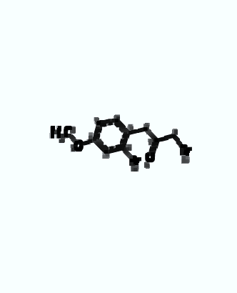 COc1ccc(CC(=O)CBr)c(Br)c1